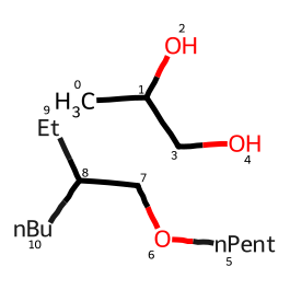 CC(O)CO.CCCCCOCC(CC)CCCC